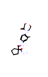 Cc1cc(NC(=O)C2(C([NH])=O)CCCC2)ccc1N1CCOCC1=S